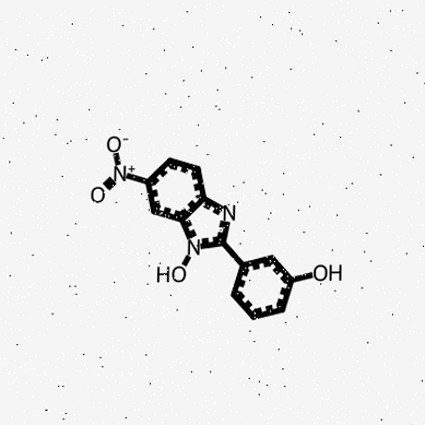 O=[N+]([O-])c1ccc2nc(-c3cccc(O)c3)n(O)c2c1